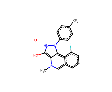 CN1C=c2cccc(F)c2=C2C1=C(O)NN2c1ccc(C(F)(F)F)cc1.O